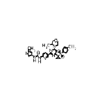 Cc1ccc(S(=O)(=O)C2(c3cc(N4CCOCC4C)nc(-c4ccc(NC(=O)Nc5cnn(C)c5)nc4)n3)CC2)cc1